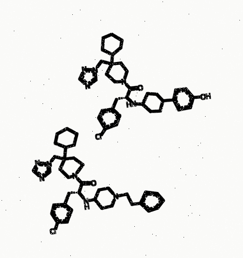 O=C([C@@H](Cc1ccc(Cl)cc1)NC1CCC(c2ccc(O)cc2)CC1)N1CCC(Cn2cncn2)(C2CCCCC2)CC1.O=C([C@@H](Cc1ccc(Cl)cc1)NC1CCN(CCc2ccccc2)CC1)N1CCC(Cn2cncn2)(C2CCCCC2)CC1